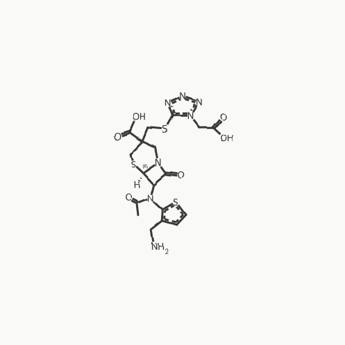 CC(=O)N(c1sccc1CN)C1C(=O)N2CC(CSc3nnnn3CC(=O)O)(C(=O)O)CS[C@H]12